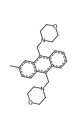 Cc1ccc2c(CN3CCOCC3)c3ccccc3c(CN3CCOCC3)c2c1